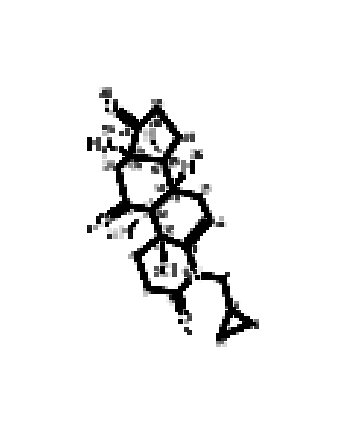 C[C@]12CCC(=O)N(CC3CC3)C1=CC[C@@H]1[C@@H]2C(=O)C[C@]2(C)C(=O)CC[C@@H]12